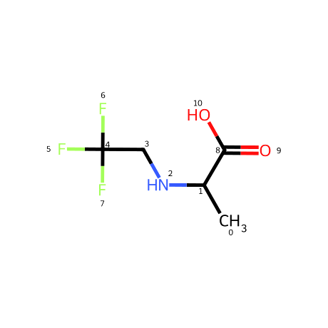 CC(NCC(F)(F)F)C(=O)O